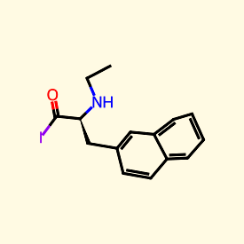 CCN[C@@H](Cc1ccc2ccccc2c1)C(=O)I